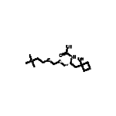 C[Si](C)(C)CCOCOC[C@@H](CC1(O)CCC1)NC(=O)O